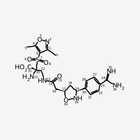 Cc1noc(C)c1S(=O)(=O)[C@@](N)(CNC(=O)C[C@H]1C[C@@H](c2ccc(C(=N)N)cc2)NO1)C(=O)O